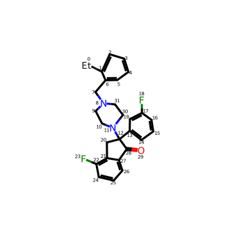 CCc1ccccc1CN1CCN(C2(c3cccc(F)c3)Cc3c(F)cccc3C2=O)CC1